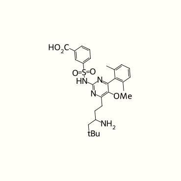 COc1c(CCC(N)CC(C)(C)C)nc(NS(=O)(=O)c2cccc(C(=O)O)c2)nc1-c1c(C)cccc1C